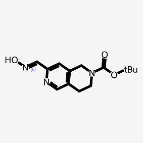 CC(C)(C)OC(=O)N1CCc2cnc(/C=N/O)cc2C1